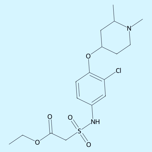 CCOC(=O)CS(=O)(=O)Nc1ccc(OC2CCN(C)C(C)C2)c(Cl)c1